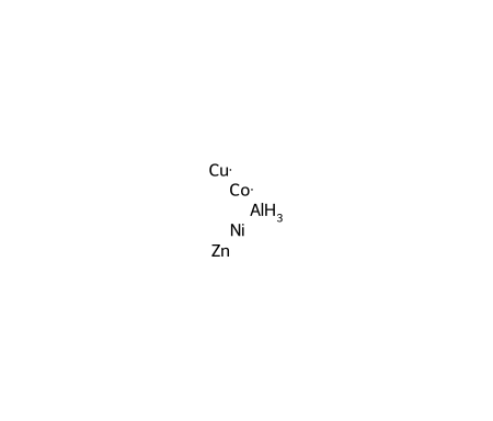 [AlH3].[Co].[Cu].[Ni].[Zn]